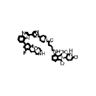 O=C1CCC(N2C(=O)c3cccc(NCCCC(=O)N4CCC(n5cc(-c6cnc7cccc(-c8cc(F)c(CC9CNCCO9)c(F)c8)c7n6)cn5)CC4)c3C2=O)C(=O)N1